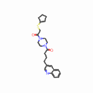 O=C(CCCc1cnc2ccccc2c1)N1CCN(C(=O)CSC2CCCC2)CC1